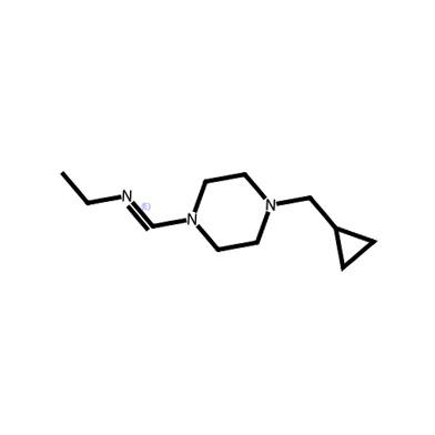 CC/N=C/N1CCN(CC2CC2)CC1